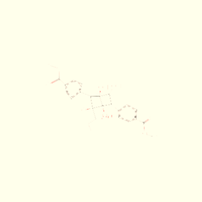 CC(C)OC(=O)c1ccc(C2C(O)[C@@]3(O)C(c4ccc(C(=O)OC(C)C)cc4)[C@@](O)([C@H](O)CO)[C@@]23O)cc1